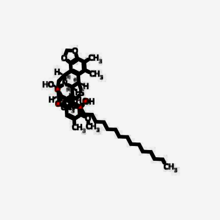 CCCCCCCCCCCCCCCC(=O)N[C@H]1CS[C@@H]2c3c(C)c(C)c4c(c3[C@H](COC1=O)N1[C@@H]2[C@H]2c3c(cc(C)c(OC)c3O)C[C@@H]([C@@H]1O)N2C)OCO4